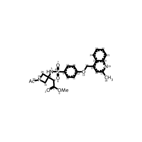 COC(=O)CC1(NS(=O)(=O)c2ccc(OCc3cc(C)nc4ccccc34)cc2)CN(C(C)=O)C1